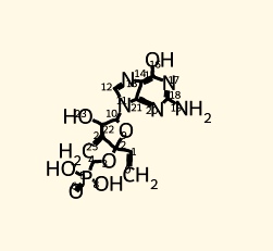 C=CC1(OCP(=O)(O)O)OC(n2cnc3c(O)nc(N)nc32)C(O)C1=C